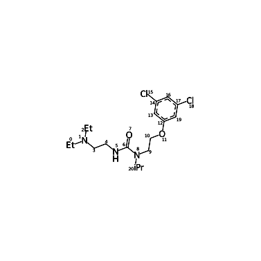 CCN(CC)CCNC(=O)N(CCOc1cc(Cl)cc(Cl)c1)C(C)C